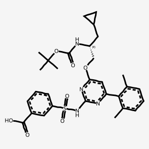 Cc1cccc(C)c1-c1cc(OC[C@@H](CC2CC2)NC(=O)OC(C)(C)C)nc(NS(=O)(=O)c2cccc(C(=O)O)c2)n1